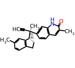 C#C[C@@](C)(c1ccc2cc(C)c(=O)[nH]c2c1)[C@@H]1CCc2ccc(C)cc21